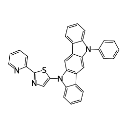 c1ccc(-n2c3ccccc3c3cc4c(cc32)c2ccccc2n4-c2cnc(-c3ccccn3)s2)cc1